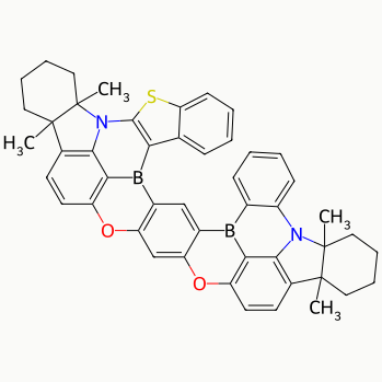 CC12CCCCC1(C)N1c3ccccc3B3c4cc5c(cc4Oc4ccc2c1c43)Oc1ccc2c3c1B5c1c(sc4ccccc14)N3C1(C)CCCCC21C